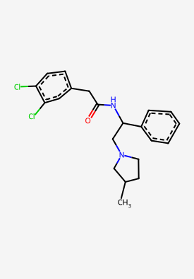 CC1CCN(CC(NC(=O)Cc2ccc(Cl)c(Cl)c2)c2ccccc2)C1